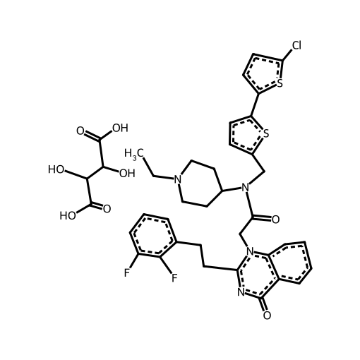 CCN1CCC(N(Cc2ccc(-c3ccc(Cl)s3)s2)C(=O)Cn2c(CCc3cccc(F)c3F)nc(=O)c3ccccc32)CC1.O=C(O)C(O)C(O)C(=O)O